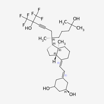 CC(C)(O)CCC[C@](C)(CC#CC(O)(C(F)(F)F)C(F)(F)F)[C@H]1CC[C@H]2/C(=C/C=C3\CC(O)C[C@H](O)C3)CCC[C@]12C